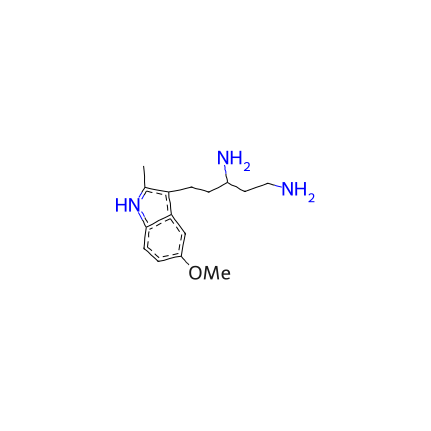 COc1ccc2[nH]c(C)c(CCC(N)CCN)c2c1